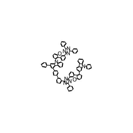 c1ccc(-c2cc(-c3ccc(-c4cccc(-c5nc(-c6ccccc6)nc(-c6cccc7c6oc6cccc(-c8ccc9c%10ccccc%10n(-c%10ccccc%10)c9c8)c67)n5)c4)cc3)c3c4ccccc4n(-c4cccc5oc6c(-c7nc(-c8ccccc8)nc(-c8ccccc8)n7)cccc6c45)c3c2)cc1